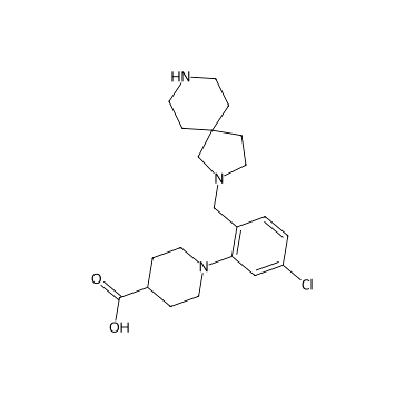 O=C(O)C1CCN(c2cc(Cl)ccc2CN2CCC3(CCNCC3)C2)CC1